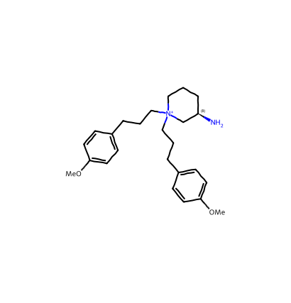 COc1ccc(CCC[N+]2(CCCc3ccc(OC)cc3)CCC[C@@H](N)C2)cc1